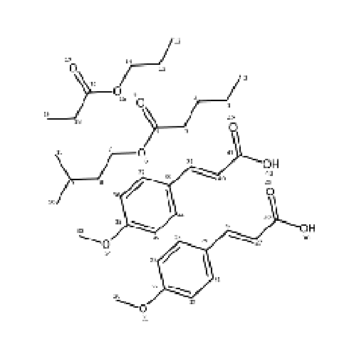 CCCCC(=O)OCCC(C)C.CCCOC(=O)CC.COc1ccc(C=CC(=O)O)cc1.COc1ccc(C=CC(=O)O)cc1